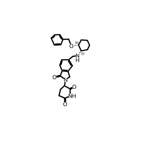 O=C1CCC(N2Cc3cc(CN[C@H]4CCCC[C@H]4OCc4ccccc4)ccc3C2=O)C(=O)N1